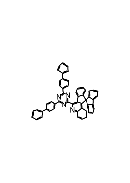 c1ccc(-c2ccc(-c3nc(-c4ccc(-c5ccccc5)cc4)nc(-c4nc5ccccc5c5c4-c4ccccc4C54c5ccccc5-c5ccccc54)n3)cc2)cc1